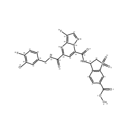 COC(=O)c1ccc2c(c1)S(=O)(=O)CC2NC(=O)c1cc(C(=O)NCc2ccc(F)c(Cl)c2)nc2c(F)cnn12